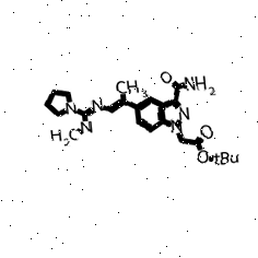 C=N/C(=N\C=C(/C)c1ccc2c(c1)c(C(N)=O)nn2CC(=O)OC(C)(C)C)N1CCCC1